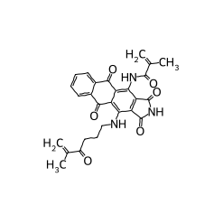 C=C(C)C(=O)CCCNc1c2c(=O)[nH]c(=O)c2c(NC(=O)C(=C)C)c2c(=O)c3ccccc3c(=O)c12